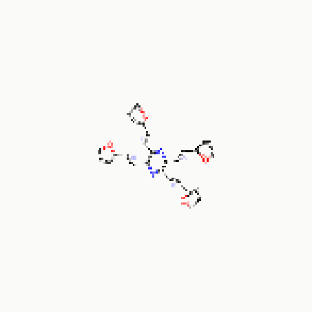 C(=C\c1nc(/C=C/c2ccco2)c(/C=C/c2ccco2)nc1/C=C/c1ccco1)/c1ccco1